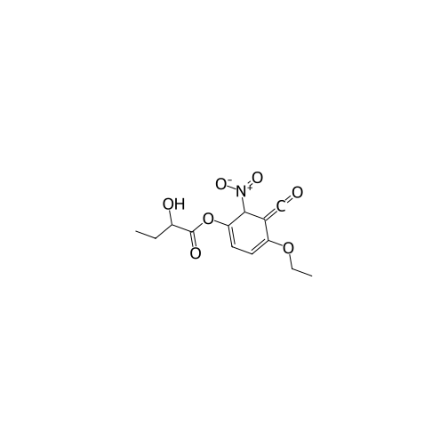 CCOC1=CC=C(OC(=O)C(O)CC)C([N+](=O)[O-])C1=C=O